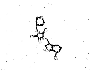 O=C1N[C@H](Cc2c[nH]c3c(Cl)cccc23)C(=O)N1Cc1ccncc1